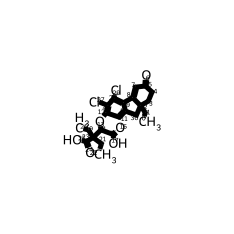 CCC12CCC(=O)C=C1c1c(cc(OC(C(=O)O)C(CC)(CC)C(=O)O)c(Cl)c1Cl)C2